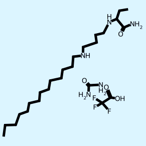 CCCCCCCCCCCCCCNCCCCNC(CC)C(N)=O.NC(N)=O.O=C(O)C(F)(F)F